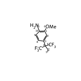 COc1cc(C(F)(C(F)(F)F)C(F)(F)F)ccc1N